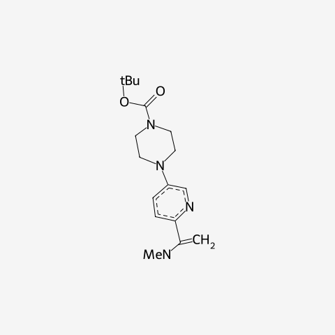 C=C(NC)c1ccc(N2CCN(C(=O)OC(C)(C)C)CC2)cn1